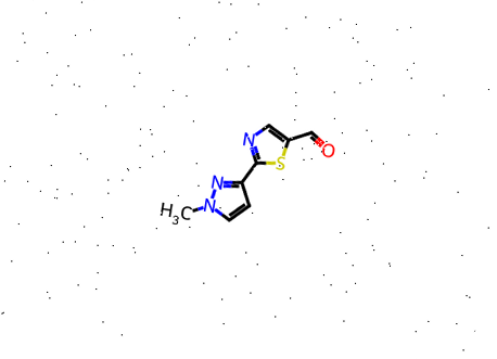 Cn1ccc(-c2ncc(C=O)s2)n1